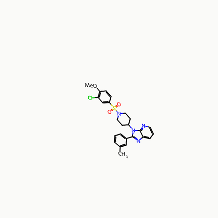 COc1ccc(S(=O)(=O)N2CCC(n3c(-c4cccc(C)c4)nc4cccnc43)CC2)cc1Cl